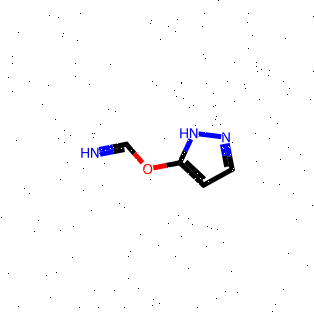 N=COc1ccn[nH]1